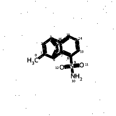 Cc1cc2ccc1c1c(S(N)(=O)=O)[c]ccc21